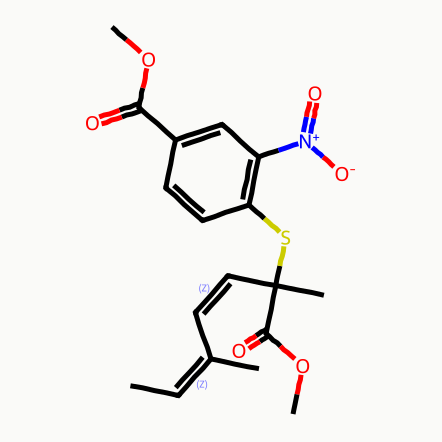 C/C=C(C)\C=C/C(C)(Sc1ccc(C(=O)OC)cc1[N+](=O)[O-])C(=O)OC